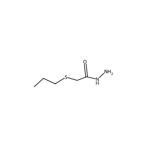 CCCSCC(=O)NN